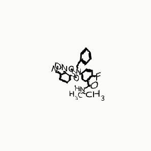 CC(C)NC(=O)c1cc(N(Cc2ccccc2)S(=O)(=O)c2cccc3nonc23)ccc1F